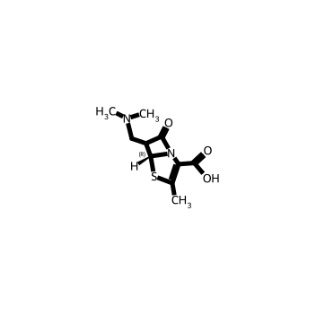 CC1=C(C(=O)O)N2C(=O)C(CN(C)C)[C@H]2S1